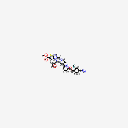 COC(=O)c1cc2c(nc(CN3CC=C(c4cccc(OCc5ccc(C#N)cc5F)n4)CC3)n2C[C@@H]2CCO2)s1